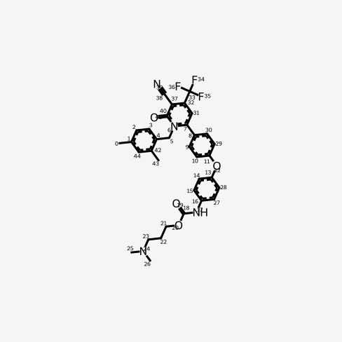 Cc1ccc(Cn2c(-c3ccc(Oc4ccc(NC(=O)OCCCN(C)C)cc4)cc3)cc(C(F)(F)F)c(C#N)c2=O)c(C)c1